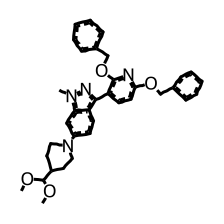 COC(OC)C1CCN(c2ccc3c(-c4ccc(OCc5ccccc5)nc4OCc4ccccc4)nn(C)c3c2)CC1